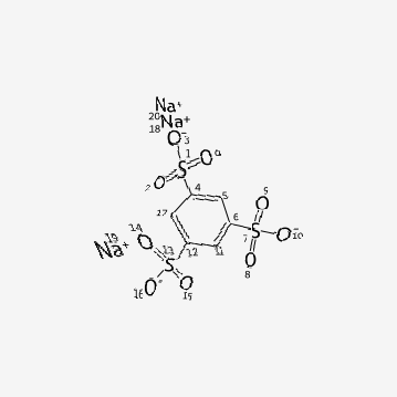 O=S(=O)([O-])c1cc(S(=O)(=O)[O-])cc(S(=O)(=O)[O-])c1.[Na+].[Na+].[Na+]